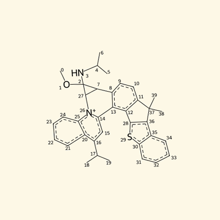 COC1(NC(C)C)C2c3ccc4c(c3-c3cc(C(C)C)c5ccccc5[n+]3C21)-c1sc2ccccc2c1C4(C)C